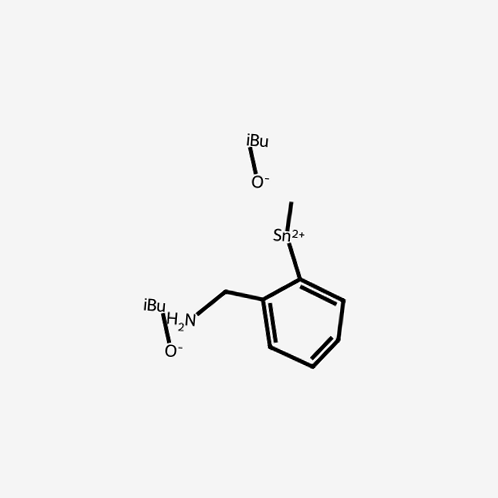 CCC(C)[O-].CCC(C)[O-].[CH3][Sn+2][c]1ccccc1CN